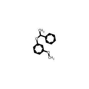 COc1cccc(OC(C)c2ccccc2)c1